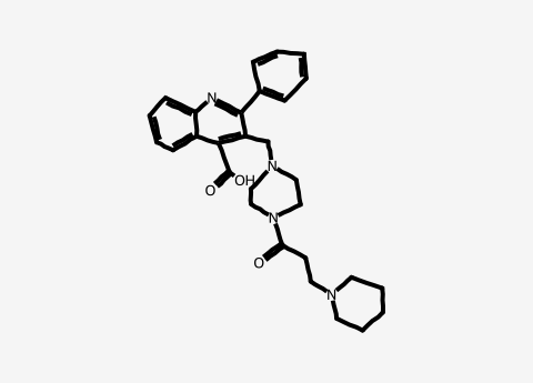 O=C(O)c1c(CN2CCN(C(=O)CCN3CCCCC3)CC2)c(-c2ccccc2)nc2ccccc12